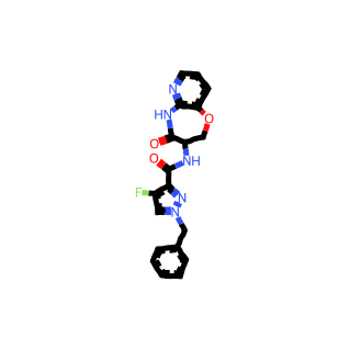 O=C(NC1COc2cccnc2NC1=O)c1nn(Cc2ccccc2)cc1F